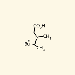 CC[C@@H](C)C(C)N(C)CC(=O)O